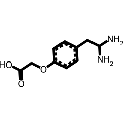 NC(N)Cc1ccc(OCC(=O)O)cc1